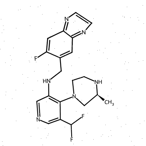 C[C@H]1CN(c2c(NCc3cc4nccnc4cc3F)cncc2C(F)F)CCN1